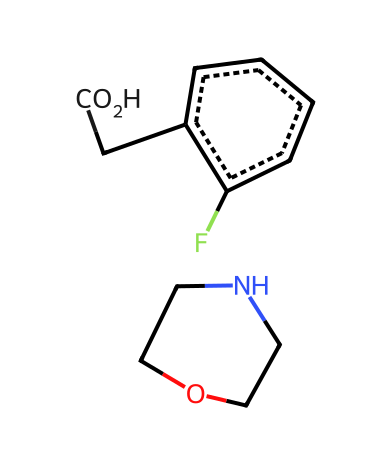 C1COCCN1.O=C(O)Cc1ccccc1F